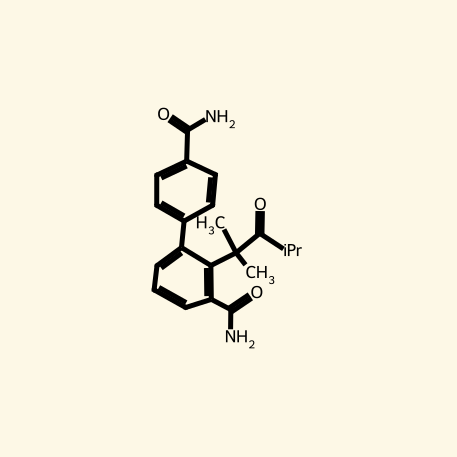 CC(C)C(=O)C(C)(C)c1c(C(N)=O)cccc1-c1ccc(C(N)=O)cc1